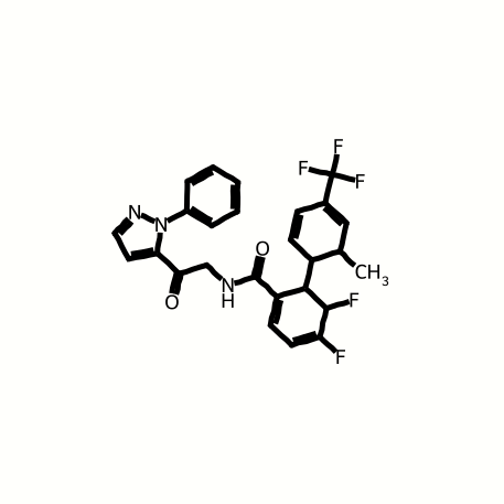 CC1C=C(C(F)(F)F)C=CC1C1C(C(=O)NCC(=O)c2ccnn2-c2ccccc2)=CC=C(F)C1F